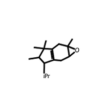 CC(C)C1C2=C(CC3(C)OC3C2)C(C)(C)C1C